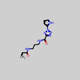 C=CC(=O)NCCCNC(=O)c1nnn(-c2ccc[nH]2)n1